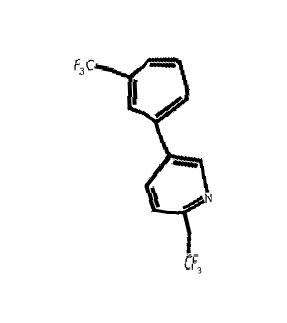 FC(F)(F)c1cccc(-c2ccc(C(F)(F)F)nc2)c1